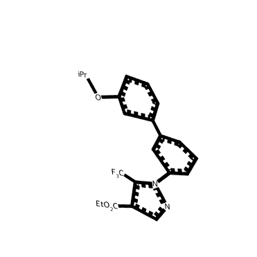 CCOC(=O)c1cnn(-c2cccc(-c3cccc(OC(C)C)c3)c2)c1C(F)(F)F